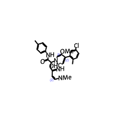 CN/C=C\C(=N)CC(C(=O)Nc1ccc(C)cc1)N(C)/C=C(OC)\C(=C/C=O)c1cc(Cl)ccc1C